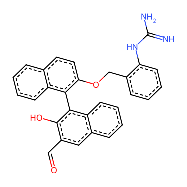 N=C(N)Nc1ccccc1COc1ccc2ccccc2c1-c1c(O)c(C=O)cc2ccccc12